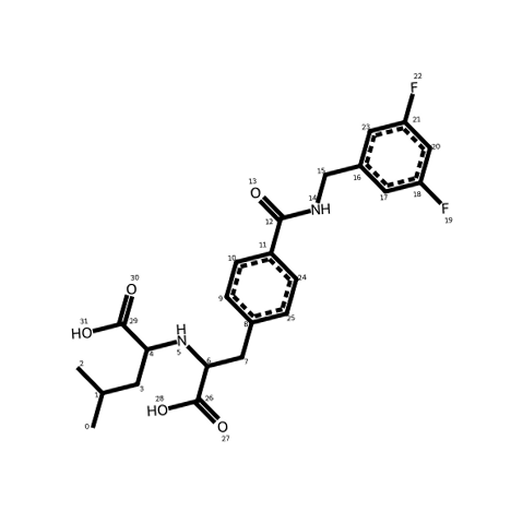 CC(C)CC(NC(Cc1ccc(C(=O)NCc2cc(F)cc(F)c2)cc1)C(=O)O)C(=O)O